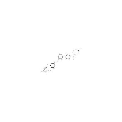 Cc1cc(C(=O)N2CCCC(=O)CC2)ccc1-c1cccc(COc2ccc(Cn3oc(=O)[nH]c3=O)cc2)c1